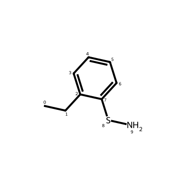 CCc1ccccc1SN